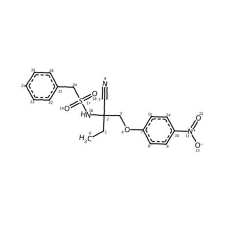 CCC(C#N)(COc1ccc([N+](=O)[O-])cc1)NS(=O)(=O)Cc1ccccc1